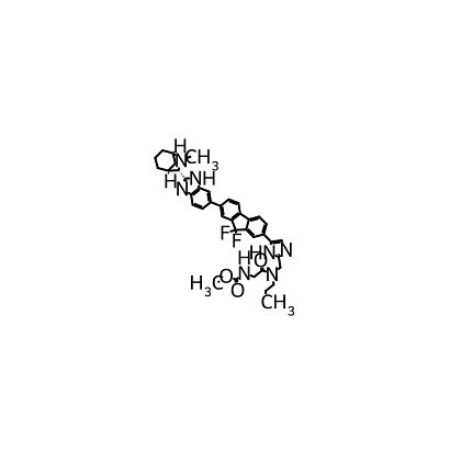 CCCN(Cc1ncc(-c2ccc3c(c2)C(F)(F)c2cc(-c4ccc5nc([C@@H]6[C@H]7CCC[C@H](C7)N6C)[nH]c5c4)ccc2-3)[nH]1)C(=O)CNC(=O)OC